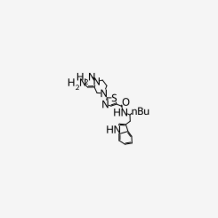 CCCCC(Cc1c[nH]c2ccccc12)NC(=O)c1cnc(N2CCN(N)/C(=C\N)C2)s1